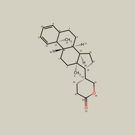 C[C@]12CC[C@H]3[C@@H](CCC4C=CC=C[C@@]43C)[C@H]1CC[C@@H]2[C@H]1CCC(=O)OC1